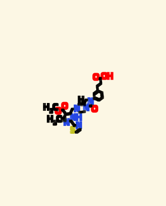 COC(=O)C1=C(CN2CCN3C(=O)N(c4cccc(CCC(=O)O)c4)C[C@@H]3C2)NC(c2nccs2)=N[C@H]1C